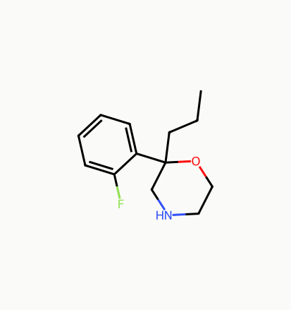 CCCC1(c2ccccc2F)CNCCO1